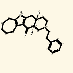 S=C1c2c([nH]c3c2CCCCC3)C[C@@H]2CCN(CCc3ccccc3)C[C@@H]12